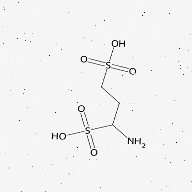 NC(CCS(=O)(=O)O)S(=O)(=O)O